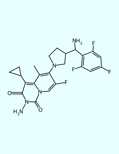 Cc1c(N2CCC(C(N)c3c(F)cc(F)cc3F)C2)c(F)cn2c(=O)n(N)c(=O)c(C3CC3)c12